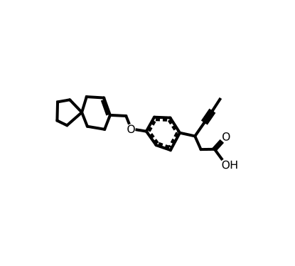 CC#CC(CC(=O)O)c1ccc(OCC2=CCC3(CCCC3)CC2)cc1